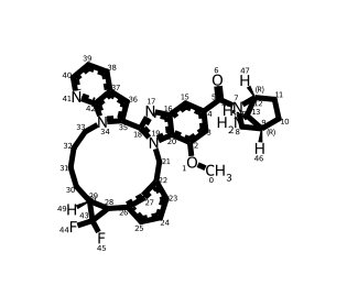 COc1cc(C(=O)N2C[C@H]3CC[C@@H]2[C@@H]3N)cc2nc3n(c12)Cc1cccc(c1)C1[C@@H](CCCCn2c-3cc3cccnc32)C1(F)F